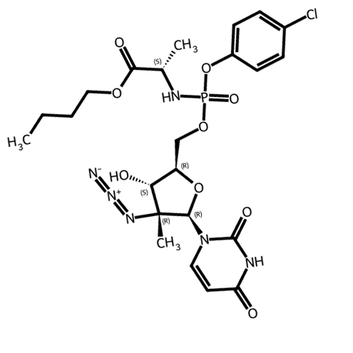 CCCCOC(=O)[C@H](C)NP(=O)(OC[C@H]1O[C@@H](n2ccc(=O)[nH]c2=O)[C@](C)(N=[N+]=[N-])[C@@H]1O)Oc1ccc(Cl)cc1